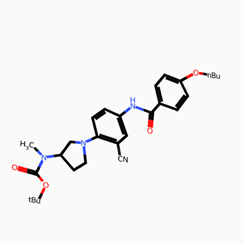 CCCCOc1ccc(C(=O)Nc2ccc(N3CCC(N(C)C(=O)OC(C)(C)C)C3)c(C#N)c2)cc1